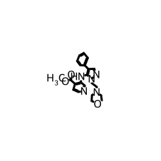 COC(=O)c1ccncc1Nc1c(-c2ccccc2)cnn1CCN1CCOCC1